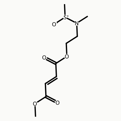 COC(=O)/C=C/C(=O)OCCN(C)[S+](C)[O-]